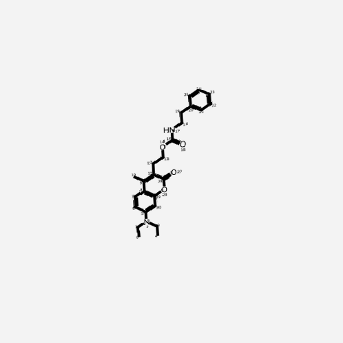 CCN(CC)c1ccc2c(C)c(CCOC(=O)NCCc3ccccc3)c(=O)oc2c1